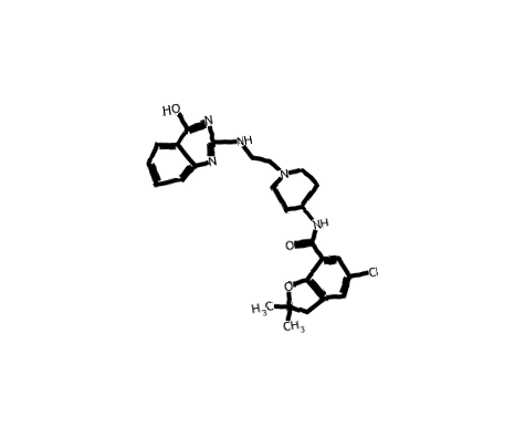 CC1(C)Cc2cc(Cl)cc(C(=O)NC3CCN(CCNc4nc(O)c5ccccc5n4)CC3)c2O1